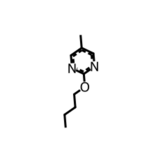 CCCCOc1ncc(C)cn1